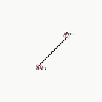 CCCCCOC(=O)CCCCCCCCCCCCCCCCCCC(=O)OCCCCC